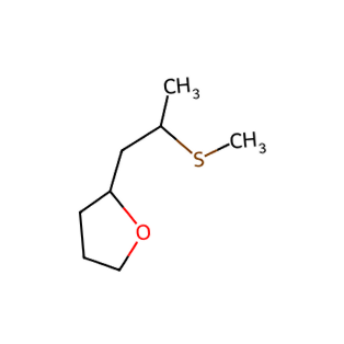 CSC(C)CC1CCCO1